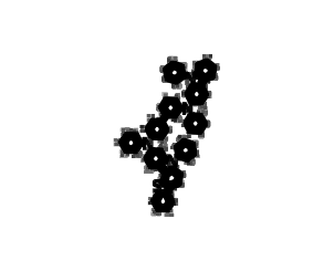 c1ccc(N(c2cccc(-c3ccc(N(c4ccccc4)c4ccc5c6c7sc8ccccc8c7ccc6n(-c6ccccc6)c5c4)cc3)c2)c2ccc3c4ccccc4n(-c4ccccc4)c3c2)cc1